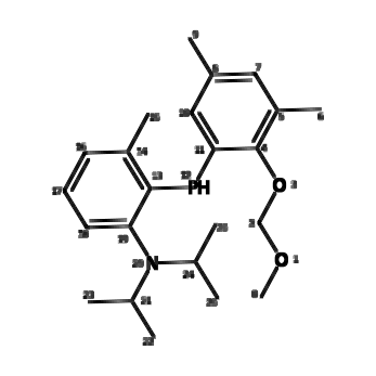 COCOc1c(C)cc(C)cc1Pc1c(C)cccc1N(C(C)C)C(C)C